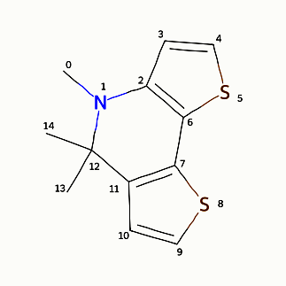 CN1c2ccsc2-c2sccc2C1(C)C